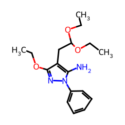 CCOc1nn(-c2ccccc2)c(N)c1CC(OCC)OCC